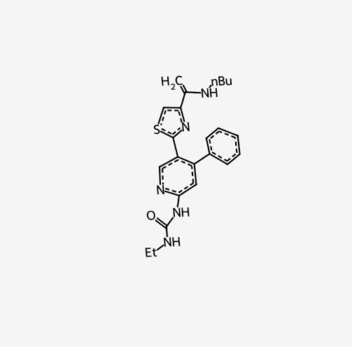 C=C(NCCCC)c1csc(-c2cnc(NC(=O)NCC)cc2-c2ccccc2)n1